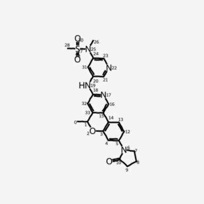 CC1Oc2cc(N3CCCC3=O)ccc2-c2cnc(Nc3cncc(N(C)S(C)(=O)=O)c3)cc21